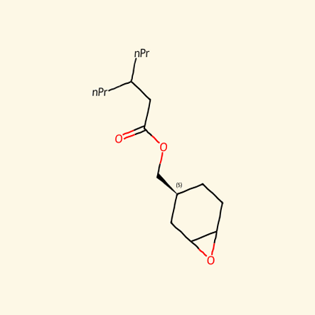 CCCC(CCC)CC(=O)OC[C@H]1CCC2OC2C1